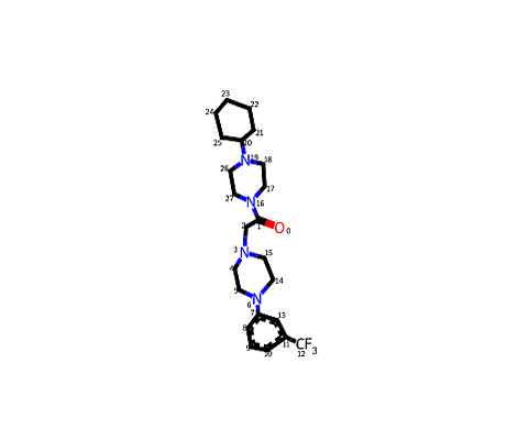 O=C(CN1CCN(c2cccc(C(F)(F)F)c2)CC1)N1CCN(C2CCCCC2)CC1